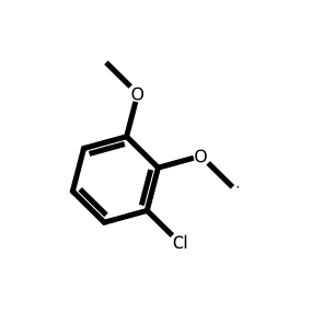 [CH2]Oc1c(Cl)cccc1OC